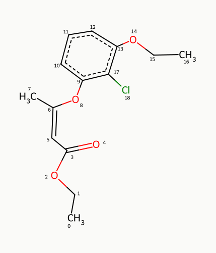 CCOC(=O)/C=C(/C)Oc1cccc(OCC)c1Cl